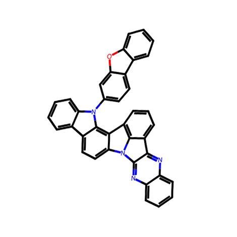 c1ccc2nc3c(nc2c1)c1cccc2c4c5c(ccc4n3c12)c1ccccc1n5-c1ccc2c(c1)oc1ccccc12